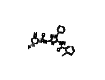 Cc1ccccc1C(=O)Nc1nc(NC(=O)[C@@H]2C[C@H](F)CN2)nn1-c1ccccc1